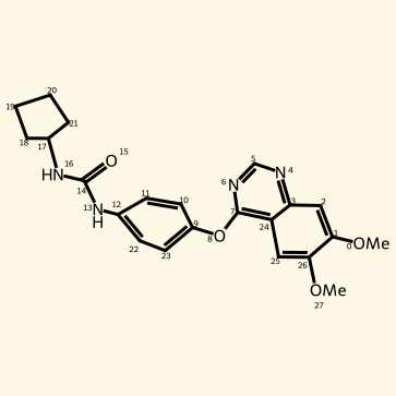 COc1cc2ncnc(Oc3ccc(NC(=O)NC4CCCC4)cc3)c2cc1OC